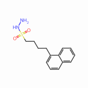 NNS(=O)(=O)CCCCc1cccc2ccccc12